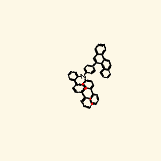 c1ccc(-c2ccc(-c3ccccc3N(c3ccc(-c4ccccc4)cc3)c3ccc(-c4cc5ccccc5c5ccc6ccccc6c45)cc3)cc2)cc1